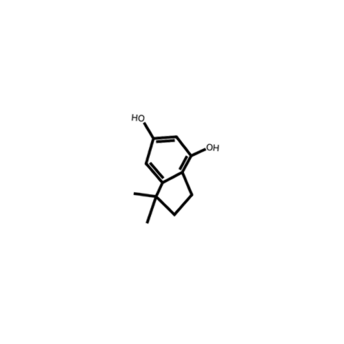 CC1(C)CCc2c(O)cc(O)cc21